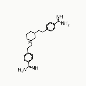 N=C(N)c1ccc(CCC2CCC[C@@H](CCc3ccc(C(=N)N)cc3)C2)cc1